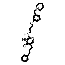 O=c1[nH]c(NCCCOc2cccc(CN3CCCCC3)c2)ncc1CCCc1ccccc1